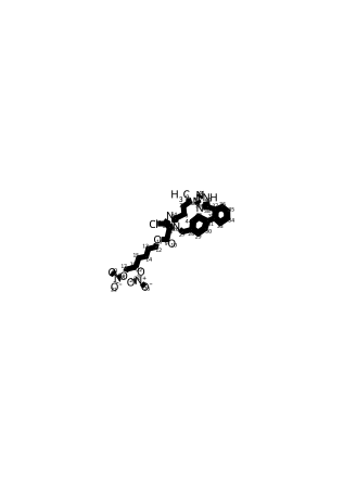 CCCCc1nc(Cl)c(C(=O)OCCCCC(CO[N+](=O)[O-])O[N+](=O)[O-])n1Cc1ccc(-c2ccccc2-c2nnn[nH]2)cc1